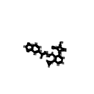 C/C(=N\OCc1c(C2CC2)cccc1-n1[nH]n(C)c1=O)c1ccc2c(c1)OCO2